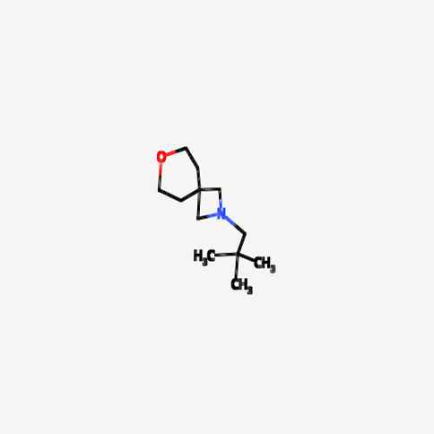 CC(C)(C)CN1CC2(CCOCC2)C1